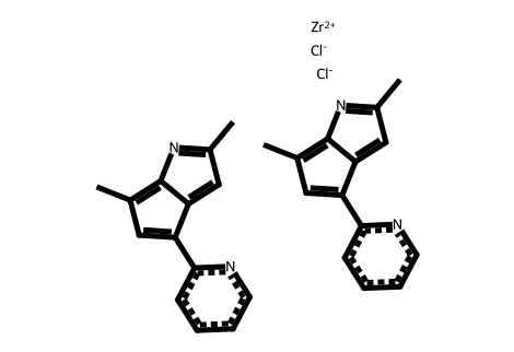 CC1=NC2=C(C)C=C(c3ccccn3)C2=C1.CC1=NC2=C(C)C=C(c3ccccn3)C2=C1.[Cl-].[Cl-].[Zr+2]